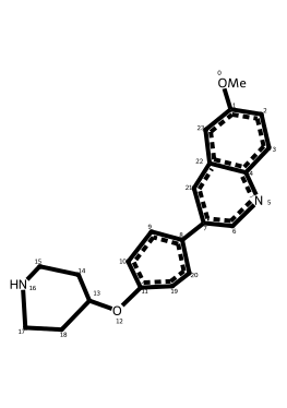 COc1ccc2ncc(-c3ccc(OC4CCNCC4)cc3)cc2c1